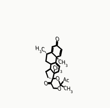 CC(=O)C1(C)OCC(=O)[C@]2(CCC3C4C[C@H](C)C5=CC(=O)C=C[C@]5(C)C4=CC[C@@]32C)O1